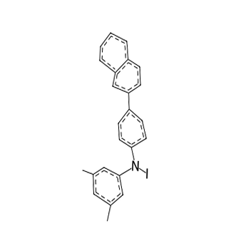 Cc1cc(C)cc(N(I)c2ccc(-c3ccc4ccccc4c3)cc2)c1